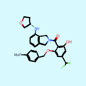 COc1ccc(COc2cc(C(F)F)cc(O)c2C(=O)N2Cc3cccc(N[C@H]4CCOC4)c3C2)cc1